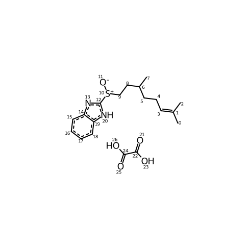 CC(C)=CCCC(C)CC[S+]([O-])c1nc2ccccc2[nH]1.O=C(O)C(=O)O